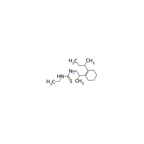 CCNC(=S)/N=C\C(C)C1=C(C(C)CC)CCCC1